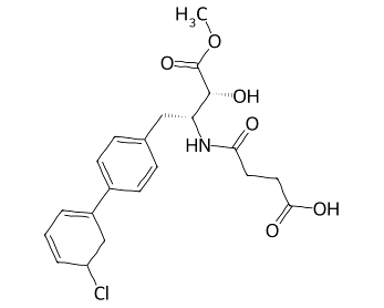 COC(=O)[C@H](O)[C@@H](Cc1ccc(C2=CC=CC(Cl)C2)cc1)NC(=O)CCC(=O)O